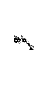 O=C(Nc1ccc(OCCCNC2CC2)cc1)c1c[nH]c2c1C(=O)CCCC2